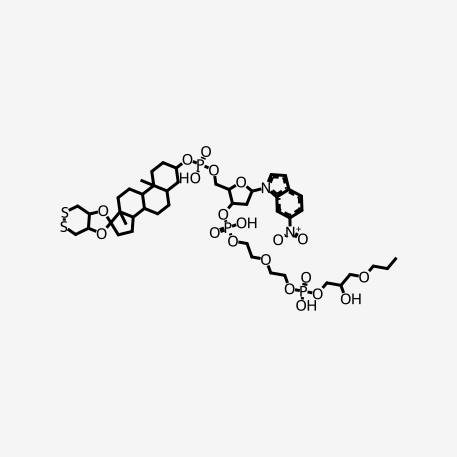 CCCOCC(O)COP(=O)(O)OCCOCCOP(=O)(O)OC1CC(n2ccc3ccc([N+](=O)[O-])cc32)OC1COP(=O)(O)OC1CCC2(C)C(CCC3C2CCC2(C)C3CCC23OC2CSSCC2O3)C1